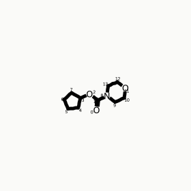 O=C(OC1CCCC1)N1CCOCC1